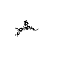 O=C(Nc1ccc(OCF)c(N2CC(F)(F)C2)c1)c1cnc(SNCCO)cc1N1CCC2(CC1)CC2